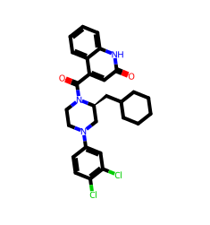 O=C(c1cc(=O)[nH]c2ccccc12)N1CCN(c2ccc(Cl)c(Cl)c2)C[C@@H]1CC1CCCCC1